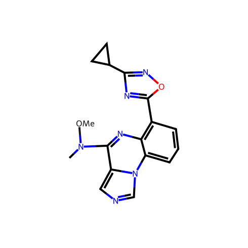 CON(C)c1nc2c(-c3nc(C4CC4)no3)cccc2n2cncc12